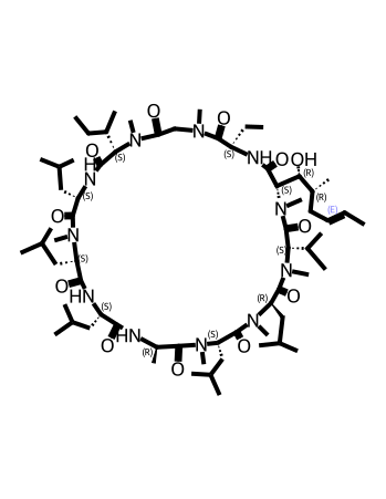 C/C=C/C[C@@H](C)[C@@H](O)[C@H]1C(=O)N[C@@H](CC)C(=O)N(C)CC(=O)N(C)[C@@H](C(C)CC)C(=O)N[C@@H](CC(C)C)C(=O)N(C)[C@@H](CC(C)C)C(=O)N[C@@H](CC(C)C)C(=O)N[C@H](C)C(=O)N(C)[C@@H](CC(C)C)C(=O)N(C)[C@H](CC(C)C)C(=O)N(C)[C@@H](C(C)C)C(=O)N1C